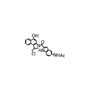 CC(=O)Nc1ccc2[nH]c(C(=O)N3C[C@@H](CCl)c4c3cc(O)c3ccccc43)cc2c1